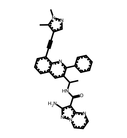 Cc1c(C#Cc2cccc3cc(C(C)NC(=O)c4c(N)nn5cccnc45)c(-c4ccccc4)nc23)cnn1C